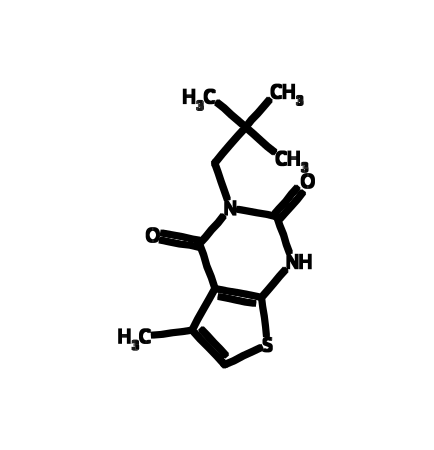 Cc1csc2[nH]c(=O)n(CC(C)(C)C)c(=O)c12